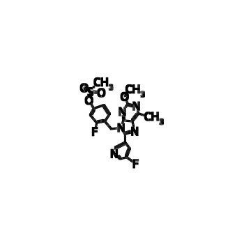 COc1nc(C)c2nc(-c3cncc(F)c3)n(Cc3ccc(OS(C)(=O)=O)cc3F)c2n1